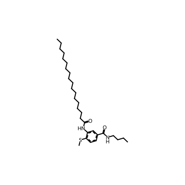 CCCCCCCCCCCCCCCCCC(=O)Nc1cc(C(=O)NCCCC)ccc1SC